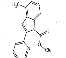 Cc1cncc2c1cc(-c1ccccn1)n2C(=O)OC(C)(C)C